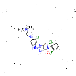 CN(C)C1CCN(c2ccc(Nc3ncc4c(n3)SCN(c3c(Cl)cccc3Cl)C4=O)cc2Cl)CC1